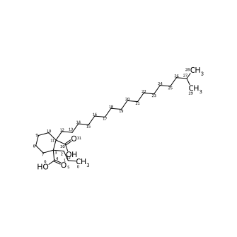 CCCC1(C(=O)O)CCCCC1(CCCCCCCCCCCCCCCC(C)C)C(=O)O